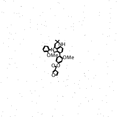 COc1cc(OC(=O)c2ccoc2)ccc1-c1ccc2c3c1CN(c1ccccc1OC)C3=CC(C)(C)N2